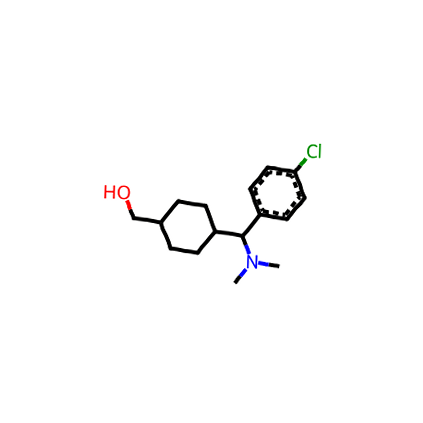 CN(C)C(c1ccc(Cl)cc1)C1CCC(CO)CC1